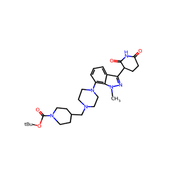 Cn1nc(C2CCC(=O)NC2=O)c2cccc(N3CCN(CC4CCN(C(=O)OC(C)(C)C)CC4)CC3)c21